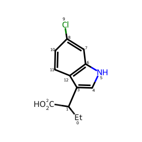 CCC(C(=O)O)c1c[nH]c2cc(Cl)ccc12